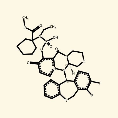 CCN(C1(C(=O)OC)CCCCC1)P(=O)(O)Oc1c2n(ccc1=O)N([C@@H]1c3ccccc3SCc3c1ccc(F)c3F)[C@@H]1COCCN1C2=O